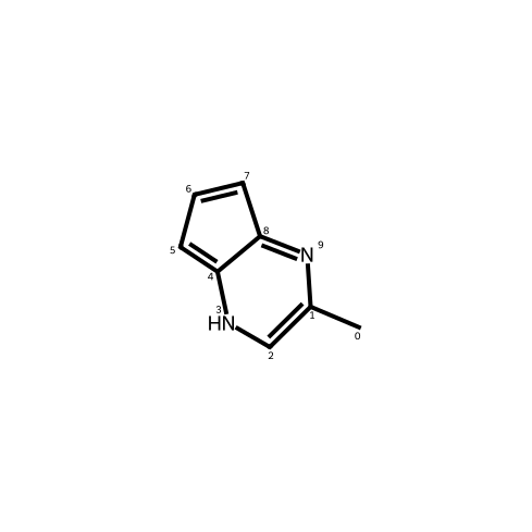 Cc1c[nH]c2cccc-2n1